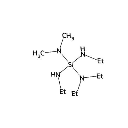 CCN[Si](NCC)(N(C)C)N(CC)CC